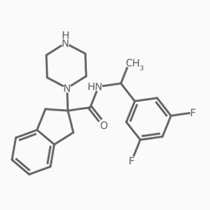 CC(NC(=O)C1(N2CCNCC2)Cc2ccccc2C1)c1cc(F)cc(F)c1